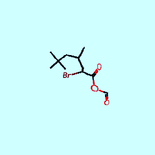 CC(CC(C)(C)C)C(Br)C(=O)OC=O